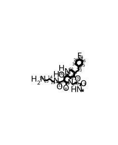 CNC(=O)[C@H]1Cn2c(=O)c(C(=O)NCCCN)c(O)c3ncc(Cc4ccc(F)cc4)c(c32)O1